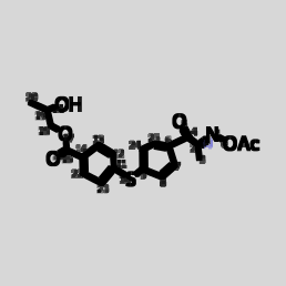 CC(=O)O/N=C(\C)C(=O)c1ccc(Sc2ccc(C(=O)OCC(C)O)cc2)cc1